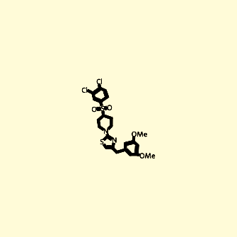 COc1cc(Cc2csc(N3CCC(S(=O)(=O)c4ccc(Cl)c(Cl)c4)CC3)n2)cc(OC)c1